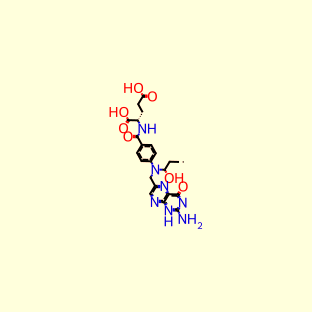 [CH2]CC(O)N(Cc1cnc2[nH]c(N)nc(=O)c2n1)c1ccc(C(=O)N[C@@H](CCC(=O)O)C(=O)O)cc1